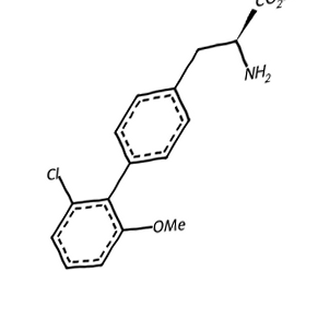 COc1cccc(Cl)c1-c1ccc(C[C@H](N)C(=O)O)cc1